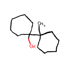 CC1(C2(O)CCCCC2)CCCCC1